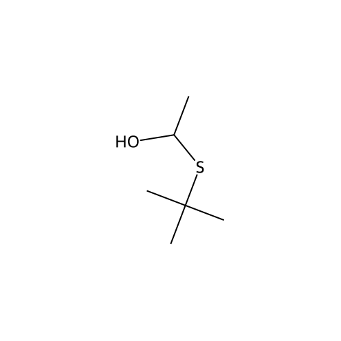 CC(O)SC(C)(C)C